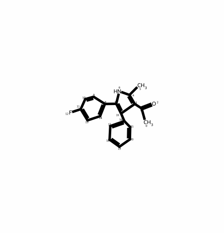 CC(=O)c1c(C)[nH]c(-c2ccc(F)cc2)c1-c1ccccc1